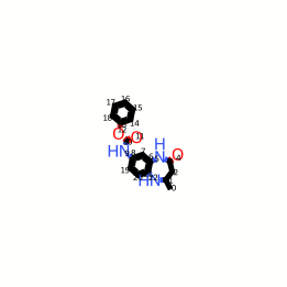 CC1CC(=O)Nc2cc(NC(=O)Oc3ccccc3)ccc2N1